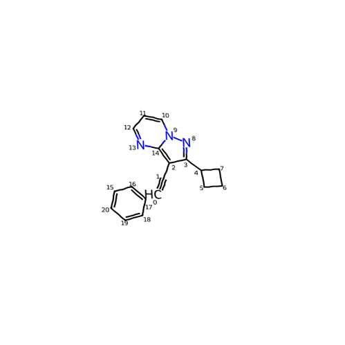 C#Cc1c(C2CCC2)nn2cccnc12.c1ccccc1